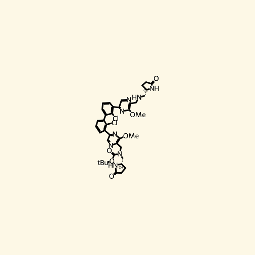 COc1nc(-c2cccc(-c3cccc(-c4cnc(CN(C[C@@H]5CCC(=O)N5)C(=O)OC(C)(C)C)c(OC)n4)c3Cl)c2Cl)cnc1CNC[C@@H]1CCC(=O)N1